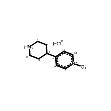 Cl.[O-][n+]1ccc(C2CCNCC2)cc1